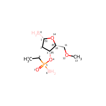 B[C@H]1C[C@@H](OP(B)(=O)CC)[C@@H](COC)O1